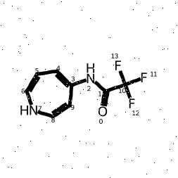 O=C(NC1=CC=CNC=C1)C(F)(F)F